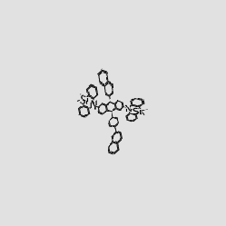 C[Si]1(C)c2ccccc2N(c2ccc3c(-c4ccc5ccccc5c4)c4cc(N5c6ccccc6[Si](C)(C)c6ccccc65)ccc4c(-c4ccc(-c5ccc6ccccc6c5)cc4)c3c2)c2ccccc21